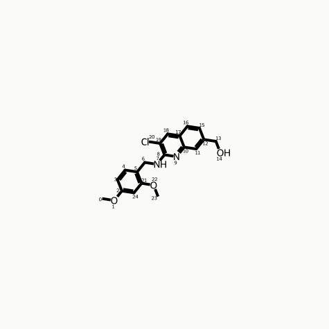 COc1ccc(CNc2nc3cc(CO)ccc3cc2Cl)c(OC)c1